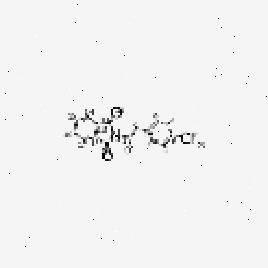 CC(=Cc1ccc(C(F)(F)F)cc1)N1C(=O)c2ccccc2C1=O